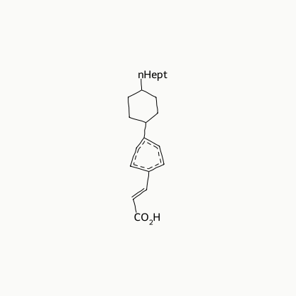 CCCCCCCC1CCC(c2ccc(C=CC(=O)O)cc2)CC1